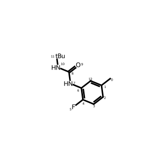 Cc1ccc(F)c(NC(=O)NC(C)(C)C)c1